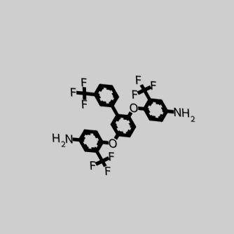 Nc1ccc(Oc2ccc(Oc3ccc(N)cc3C(F)(F)F)c(-c3cccc(C(F)(F)F)c3)c2)c(C(F)(F)F)c1